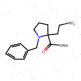 COC(=O)C1(CC[N+](=O)[O-])CCCN1Cc1ccccc1